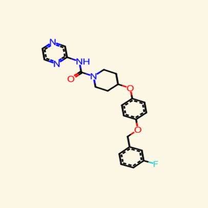 O=C(Nc1cnccn1)N1CCC(Oc2ccc(OCc3cccc(F)c3)cc2)CC1